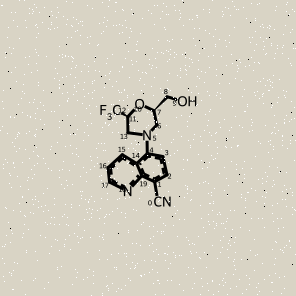 N#Cc1ccc(N2C[C@H](CO)O[C@H](C(F)(F)F)C2)c2cccnc12